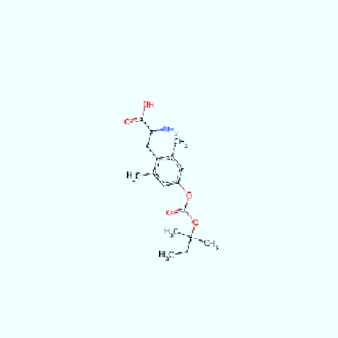 CCC(C)(C)OC(=O)Oc1cc(C)c(C[C@H](N)C(=O)O)c(C)c1